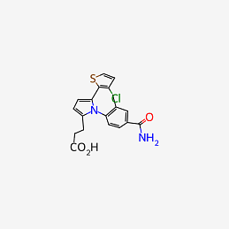 Cc1cc(C(N)=O)ccc1-n1c(CCC(=O)O)ccc1-c1sccc1Cl